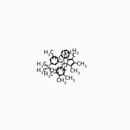 CC1=C(C)C(C)([Si](c2ccccc2)(c2cc(C)cc([Si](C)(C)C)c2)c2cc(C)c(C)c(C)c2)[C]([Ti]([CH3])[CH3])=C1C